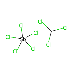 ClC(Cl)Cl.[Cl][Sb]([Cl])([Cl])([Cl])[Cl]